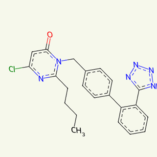 CCCCc1nc(Cl)cc(=O)n1Cc1ccc(-c2ccccc2-c2nnn[nH]2)cc1